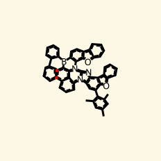 Cc1cc(C)c(-c2cc3c(nc4n5c6c(ccc7cccc(c76)n34)B(c3ccccc3-c3ccccc3)c3ccc4c(oc6ccccc64)c3-5)c3c2oc2ccccc23)c(C)c1